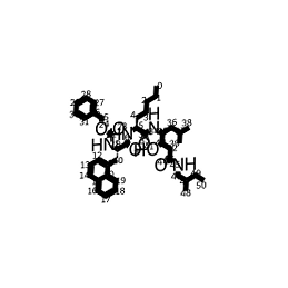 CCCCC[C@H](NC(=O)[C@H](Cc1cccc2ccccc12)NC(=O)OCc1ccccc1)C(=O)NC(CC(C)C)C(O)CC(=O)NCC(C)CC